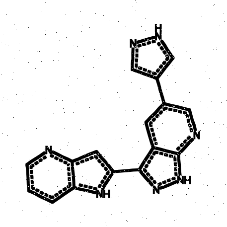 c1cnc2cc(-c3n[nH]c4ncc(-c5cn[nH]c5)cc34)[nH]c2c1